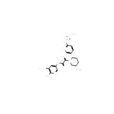 Cc1cc(NC(=O)C(=O)N2C[C@@H](C)CC[C@@H]2c2ccc(NS(C)(=O)=O)nc2)cnc1N